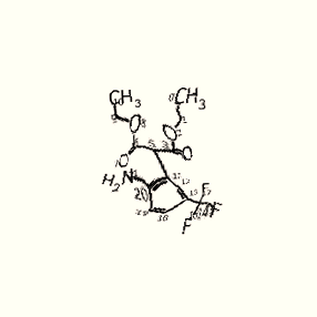 CCOC(=O)C(C(=O)OCC)c1cc(C(F)(F)F)ccc1N